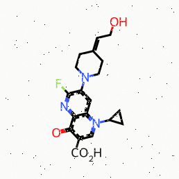 O=C(O)c1cn(C2CC2)c2cc(N3CCC(=CCO)CC3)c(F)nc2c1=O